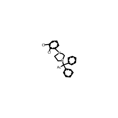 CC(=O)C(c1ccccc1)(c1ccccc1)N1CCN(c2cccc(Cl)c2Cl)CC1